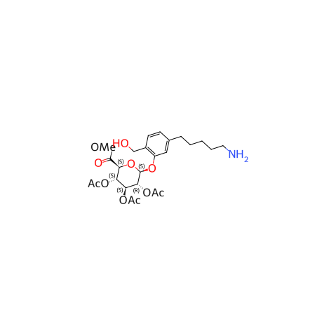 COC(=O)[C@H]1O[C@@H](Oc2cc(CCCCCN)ccc2CO)[C@H](OC(C)=O)[C@@H](OC(C)=O)[C@@H]1OC(C)=O